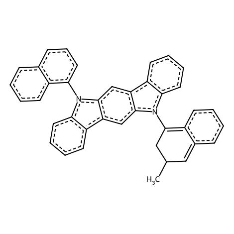 CC1C=c2ccccc2=C(n2c3ccccc3c3cc4c(cc32)c2ccccc2n4-c2cccc3ccccc23)C1